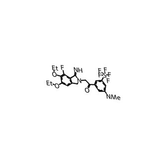 CCOc1cc2c(c(F)c1OCC)C(=N)N(CC(=O)c1cc(NC)cc(S(F)(F)(F)(F)F)c1)C2